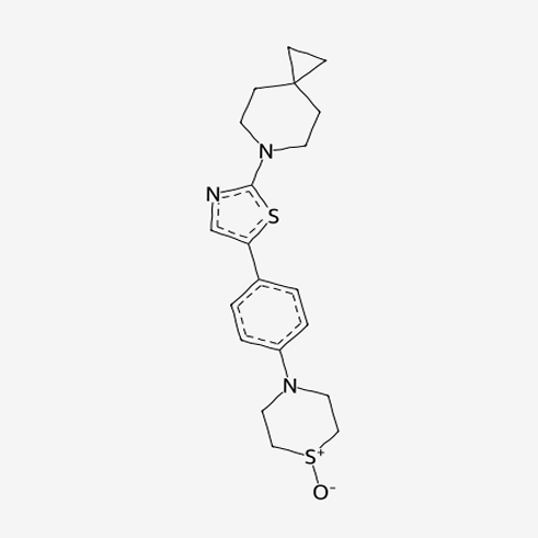 [O-][S+]1CCN(c2ccc(-c3cnc(N4CCC5(CC4)CC5)s3)cc2)CC1